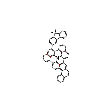 CC1(C)c2ccccc2-c2cc(-c3cccc(N(c4ccccc4-c4ccccc4)c4ccccc4-c4ccc5c(ccc6ccccc65)c4)c3-c3ccccc3)ccc21